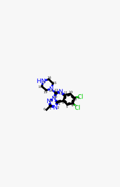 Cc1nc2c3cc(Cl)c(Cl)cc3nc(N3CCNCC3)n2n1